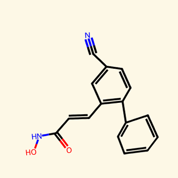 N#Cc1ccc(-c2ccccc2)c(/C=C/C(=O)NO)c1